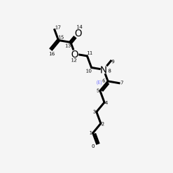 C=CCCC/C=C(\C)N(C)CCOC(=O)C(=C)C